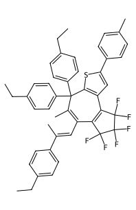 CCc1ccc(/C(C)=C/C2=C(C)C(c3ccc(CC)cc3)(c3ccc(CC)cc3)c3sc(-c4ccc(C)cc4)cc3C3=C2C(F)(F)C(F)(F)C3(F)F)cc1